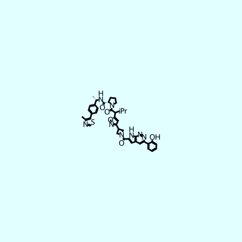 Cc1ncsc1-c1ccc([C@H](C)NC(=O)[C@@H]2CCCN2C(=O)C(c2cc(C3CN(C(=O)c4cc5cc(-c6ccccc6O)nnc5[nH]4)C3)no2)C(C)C)cc1